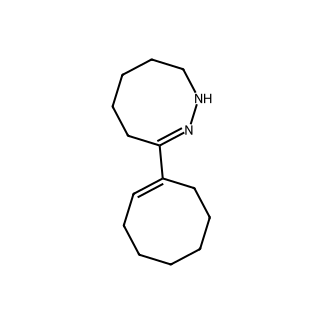 C1=C(C2=NNCCCCC2)CCCCCC1